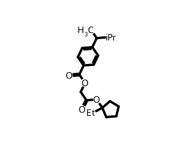 CCC1(OC(=O)COC(=O)c2ccc(C(C)C(C)C)cc2)CCCC1